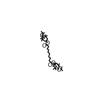 CC(C)ON1C(C)(C)CC(OC(=O)CCCCCCCCC(O)OC2CC(C)(C)N(OC(C)C)C(C)(C)C2)CC1(C)C